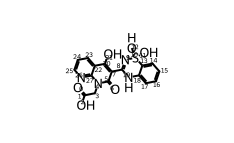 O=C(O)Cn1c(=O)c(C2=NS(O)(O)c3ccccc3N2)c(O)c2cccnc21